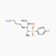 CCCCN([C@@H](CCCCN)C(=O)OC)S(=O)(=O)c1ccc(C)cc1